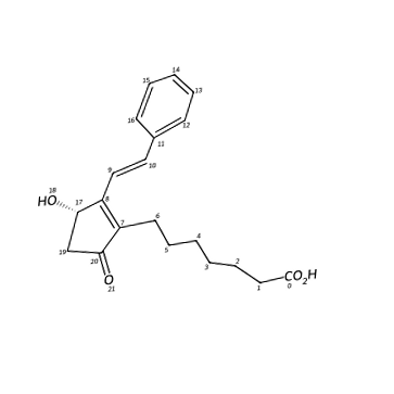 O=C(O)CCCCCCC1=C(/C=C/c2ccccc2)[C@@H](O)CC1=O